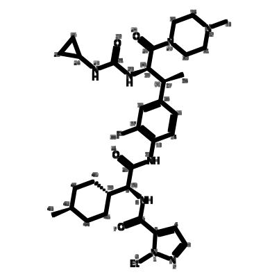 CCn1nccc1C(=O)N[C@H](C(=O)Nc1ccc([C@H](C)[C@@H](NC(=O)NC2CC2)C(=O)N2CCN(C)CC2)cc1F)[C@H]1CC[C@H](C)CC1